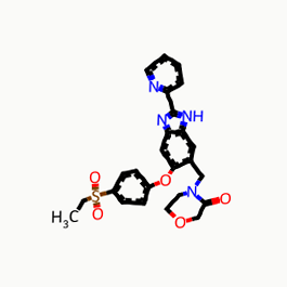 CCS(=O)(=O)c1ccc(Oc2cc3nc(-c4ccccn4)[nH]c3cc2CN2CCOCC2=O)cc1